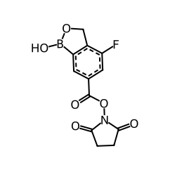 O=C(ON1C(=O)CCC1=O)c1cc(F)c2c(c1)B(O)OC2